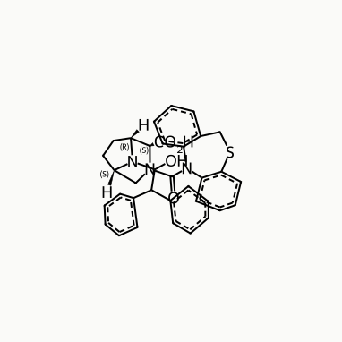 O=C(O)[C@@H]1[C@H]2CC[C@@H](CN1C(=O)N1c3ccccc3CSc3ccccc31)N2C(O)C(c1ccccc1)c1ccccc1